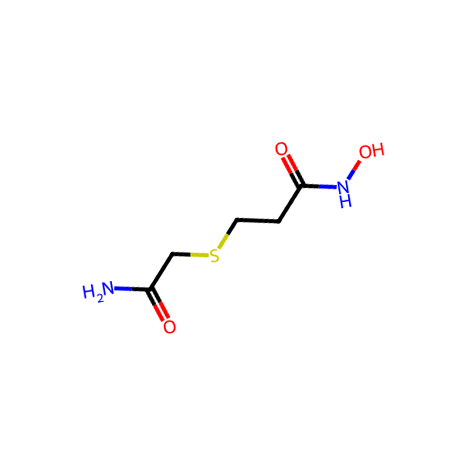 NC(=O)CSCCC(=O)NO